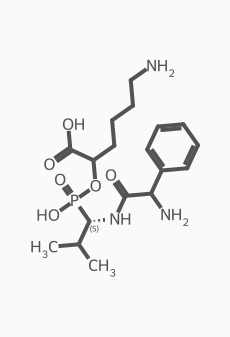 CC(C)[C@@H](NC(=O)C(N)c1ccccc1)P(=O)(O)OC(CCCCN)C(=O)O